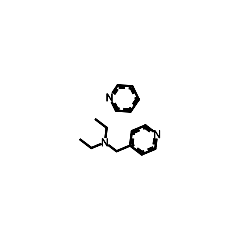 CCN(CC)Cc1ccncc1.c1ccncc1